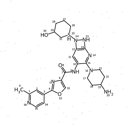 Cc1cc(-c2nc(C(=O)Nc3cc4c(nc3N3CCC(N)CC3)[nH]n4[SH]3CCCC(O)C3)co2)ccn1